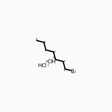 Cl.Cl.[B]CCCCCCC